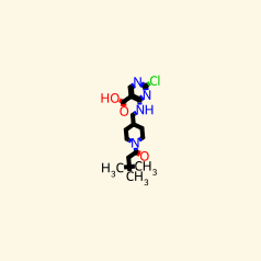 CC(C)(C)CC(=O)N1CCC(CNc2nc(Cl)ncc2C(=O)O)CC1